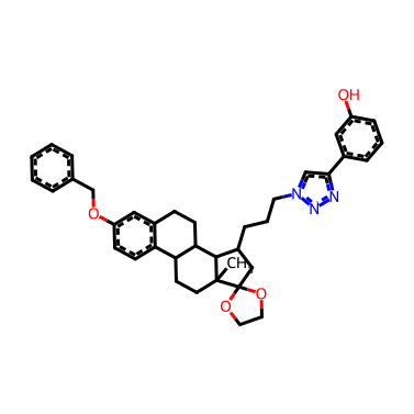 CC12CCC3c4ccc(OCc5ccccc5)cc4CCC3C1C(CCCn1cc(-c3cccc(O)c3)nn1)CC21OCCO1